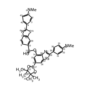 CNc1ccc(-c2nc3ccc(B(O)Oc4cc(B5OC(C)(C)C(C)(C)O5)cc5sc(-c6ccc(NC)cc6)nc45)cc3s2)cc1